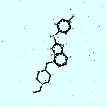 CCN1CCC(Cc2cccc3nc(Nc4ccc(C)cc4)nn23)CC1